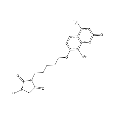 CCCc1c(OCCCCCN2C(=O)CN(C(C)C)C2=O)ccc2c(C(F)(F)F)cc(=O)oc12